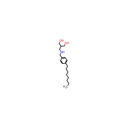 CCCCCCCCc1ccc(CNCC(CO)CO)cc1